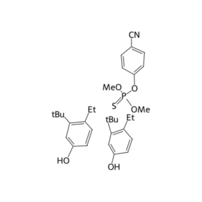 CCc1ccc(O)cc1C(C)(C)C.CCc1ccc(O)cc1C(C)(C)C.COP(=S)(OC)Oc1ccc(C#N)cc1